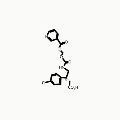 O=C(O)C[C@@H](CNC(=O)OCOC(=O)c1cccnc1)c1ccc(Cl)cc1